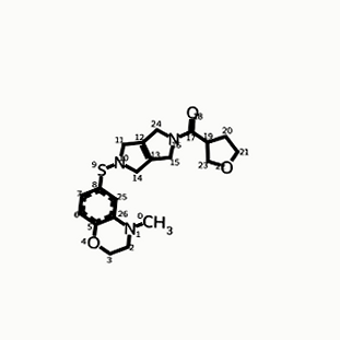 CN1CCOc2ccc(SN3CC4=C(C3)CN(C(=O)C3CCOC3)C4)cc21